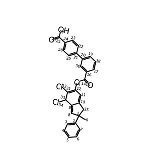 CC1(c2ccccc2)C=C2C(=CC(OC(=O)c3cccc(-c4ccc(C(=O)O)cc4)c3)=C(Cl)C2Cl)C1